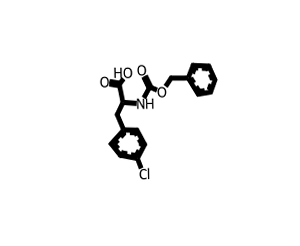 O=C(NC(Cc1ccc(Cl)cc1)C(=O)O)OCc1ccccc1